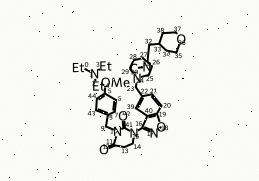 CCN(CC)CC.COc1ccc(CN2C(=O)CCN(c3noc4ccc(CN5CC6CCC5CN6CC5CCOCC5)cc34)C2=O)cc1